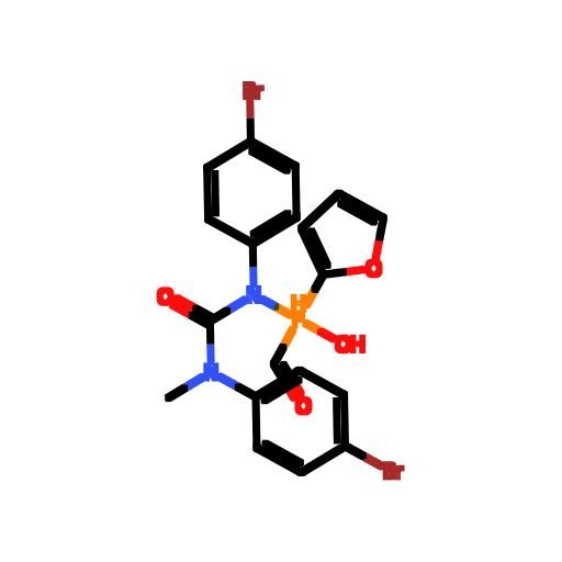 CN(C(=O)N(c1ccc(Br)cc1)[PH](O)(C=O)c1ccco1)c1ccc(Br)cc1